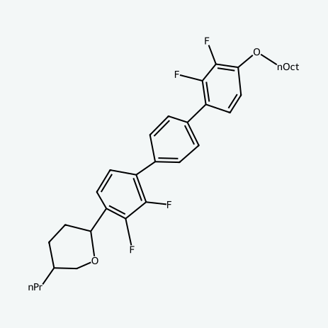 CCCCCCCCOc1ccc(-c2ccc(-c3ccc(C4CCC(CCC)CO4)c(F)c3F)cc2)c(F)c1F